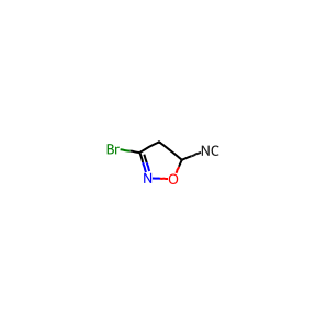 [C-]#[N+]C1CC(Br)=NO1